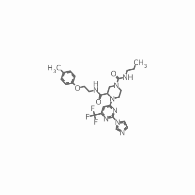 CCCNC(=O)N1CCN(c2cc(C(F)(F)F)nc(-n3ccnc3)n2)C(C(=O)NCCOc2ccc(C)cc2)C1